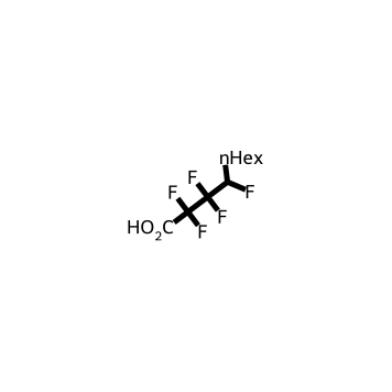 CCCCCCC(F)C(F)(F)C(F)(F)C(=O)O